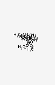 COc1ccc(C(OCC(Cn2cnc3c(sc4nc(C)cc(C)c43)c2=O)OP(OCCC#N)N(C(C)C)C(C)C)(c2ccccc2)c2ccc(OC)cc2)cc1